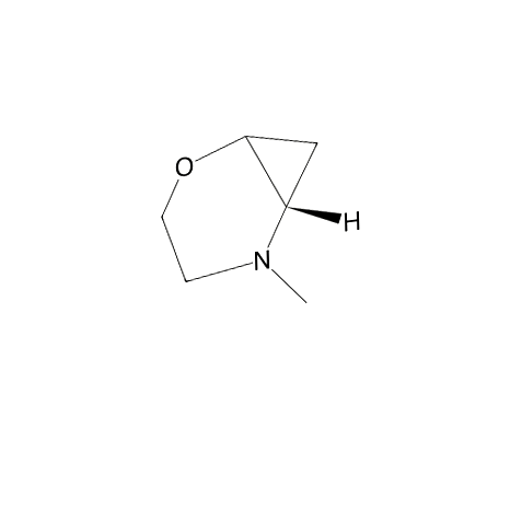 CN1CCOC2C[C@@H]21